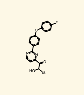 CC[C@@H](O)C(=O)c1ccnc(-c2ccc(Oc3ccc(F)cc3)cc2)n1